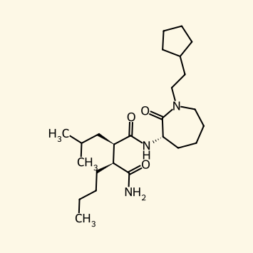 CCCC[C@H](C(N)=O)[C@@H](CC(C)C)C(=O)N[C@H]1CCCCN(CCC2CCCC2)C1=O